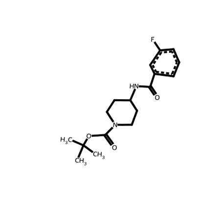 CC(C)(C)OC(=O)N1CCC(NC(=O)c2cccc(F)c2)CC1